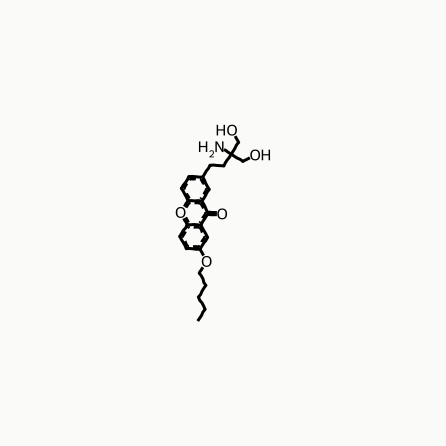 CCCCCOc1ccc2oc3ccc(CCC(N)(CO)CO)cc3c(=O)c2c1